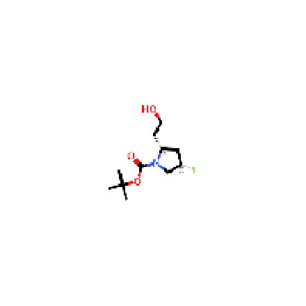 CC(C)(C)OC(=O)N1C[C@@H](F)C[C@H]1CCO